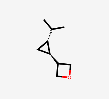 CC(C)[C@H]1C[C@@H]1C1COC1